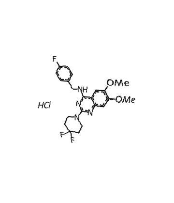 COc1cc2nc(N3CCC(F)(F)CC3)nc(NCc3ccc(F)cc3)c2cc1OC.Cl